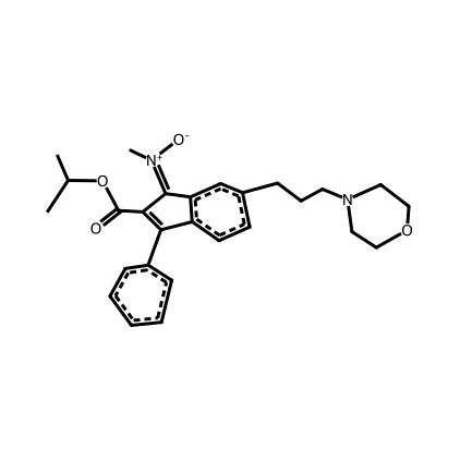 CC(C)OC(=O)C1=C(c2ccccc2)c2ccc(CCCN3CCOCC3)cc2/C1=[N+](/C)[O-]